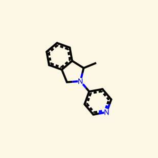 CC1c2ccccc2CN1c1ccncc1